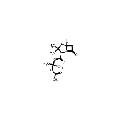 CC(=O)OC(C)(C)OC(=O)[C@@H]1N2C(=O)C[C@H]2SC1(C)C